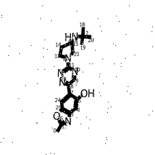 Cc1nc2cc(O)c(-c3cnc(N4CC[C@@H](NC(C)(C)C)C4)nn3)cc2o1